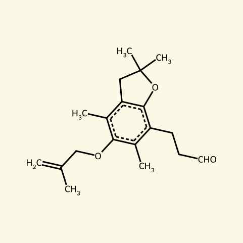 C=C(C)COc1c(C)c(CCC=O)c2c(c1C)CC(C)(C)O2